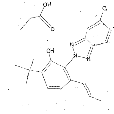 CC=Cc1ccc(C(C)(C)C)c(O)c1-n1nc2ccc(Cl)cc2n1.CCC(=O)O